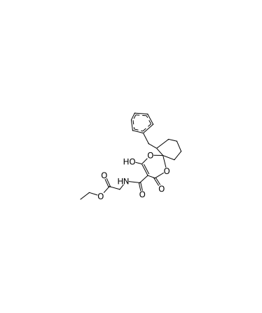 CCOC(=O)CNC(=O)C1=C(O)OC2(CCCCC2Cc2ccccc2)OC1=O